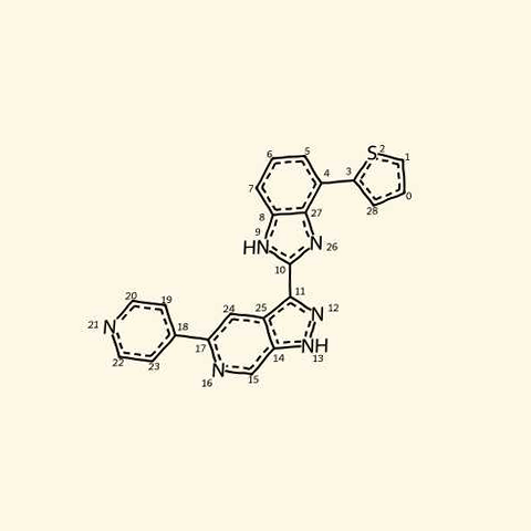 c1csc(-c2cccc3[nH]c(-c4n[nH]c5cnc(-c6ccncc6)cc45)nc23)c1